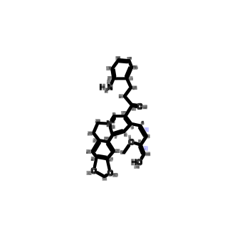 COC(/C=C\c1cc2[n+](cc1C(=O)CCc1ccccc1N)CCc1cc3c(cc1-2)OCO3)=C\O